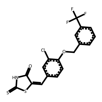 O=C1NC(=S)SC1=Cc1ccc(OCc2cccc(C(F)(F)F)c2)c(Cl)c1